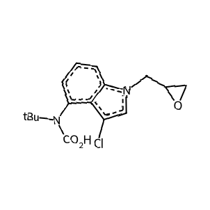 CC(C)(C)N(C(=O)O)c1cccc2c1c(Cl)cn2CC1CO1